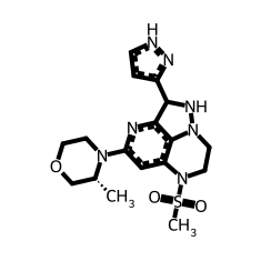 C[C@@H]1COCCN1c1cc2c3c(n1)C(c1cc[nH]n1)NN3CCN2S(C)(=O)=O